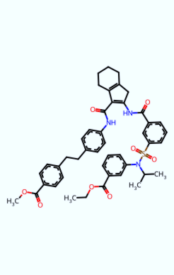 CCOC(=O)c1cccc(N(C(C)C)S(=O)(=O)c2cccc(C(=O)NC3=C(C(=O)Nc4ccc(CCc5ccc(C(=O)OC)cc5)cc4)C4=C(CCCC4)C3)c2)c1